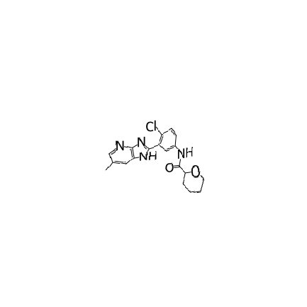 Cc1cnc2nc(-c3cc(NC(=O)C4CCCCO4)ccc3Cl)[nH]c2c1